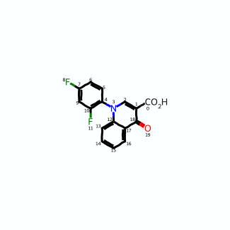 O=C(O)c1cn(-c2ccc(F)cc2F)c2ccccc2c1=O